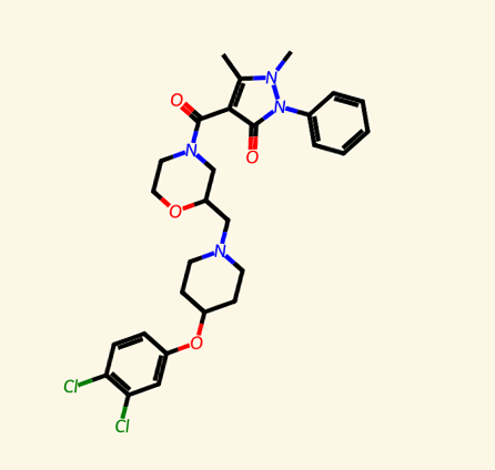 Cc1c(C(=O)N2CCOC(CN3CCC(Oc4ccc(Cl)c(Cl)c4)CC3)C2)c(=O)n(-c2ccccc2)n1C